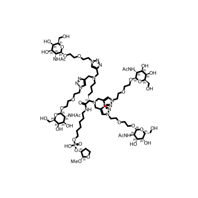 CO[C@H]1OCC[C@H]1OP(=O)(O)OCCCCCCNC(=O)[C@H](CCCCN(Cc1cn(CCOCCO[C@@H]2O[C@H](CO)[C@H](O)[C@H](O)[C@H]2NC(C)=O)nn1)Cc1cn(CCOCCO[C@@H]2O[C@H](CO)[C@H](O)[C@H](O)[C@H]2NC(C)=O)nn1)N(Cc1cn(CCOCCO[C@@H]2O[C@H](CO)[C@H](O)[C@H](O)[C@H]2NC(C)=O)nn1)Cc1cn(CCOCCO[C@@H]2O[C@H](CO)[C@H](O)[C@H](O)[C@H]2NC(C)=O)nn1